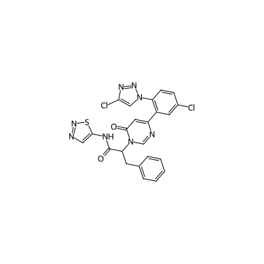 O=C(Nc1cnns1)C(Cc1ccccc1)n1cnc(-c2cc(Cl)ccc2-n2cc(Cl)nn2)cc1=O